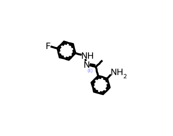 C/C(=N\Nc1ccc(F)cc1)c1ccccc1N